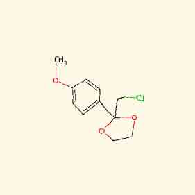 COc1ccc(C2(CCl)OCCO2)cc1